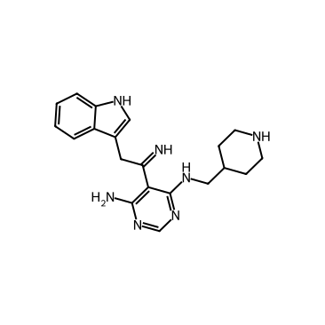 N=C(Cc1c[nH]c2ccccc12)c1c(N)ncnc1NCC1CCNCC1